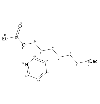 CCCCCCCCCCCCCCCCOC(=O)CC.c1ccncc1